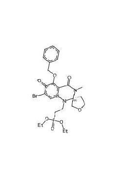 CCOP(=O)(CCN1n2cc(Br)c(=O)c(OCc3ccccc3)c2C(=O)N(C)[C@]12CCOC2)OCC